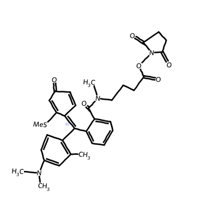 CSC1=CC(=O)C=C/C1=C(/c1ccc(N(C)C)cc1C)c1ccccc1C(=O)N(C)CCCC(=O)ON1C(=O)CCC1=O